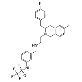 O=S(=O)(Nc1cccc(CNCCN2Cc3ccc(F)cc3CC2Cc2ccc(F)cc2)c1)C(F)(F)F